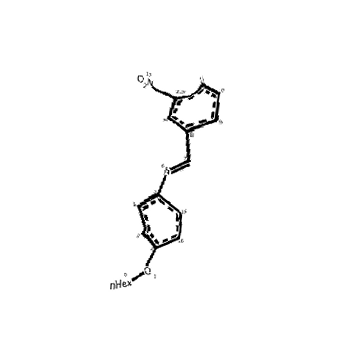 CCCCCCOc1ccc(N=Cc2cccc([N+](=O)[O-])c2)cc1